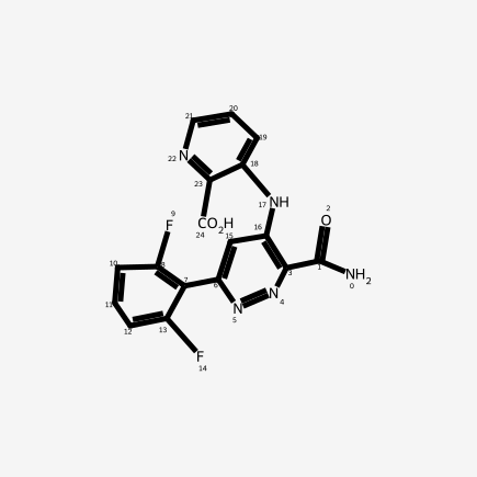 NC(=O)c1nnc(-c2c(F)cccc2F)cc1Nc1cccnc1C(=O)O